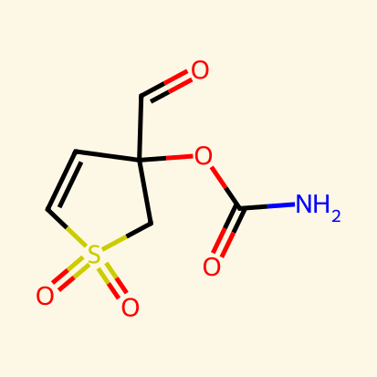 NC(=O)OC1(C=O)C=CS(=O)(=O)C1